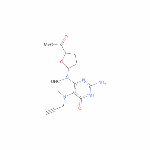 C#CCN(C)c1c(N(C=O)C2CCC(C(=O)OC)O2)nc(N)[nH]c1=O